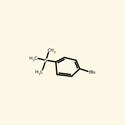 CC(C)(C)c1ccc(S(C)(C)C)cc1